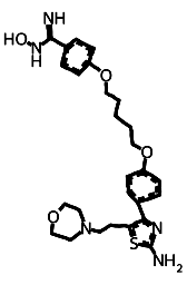 N=C(NO)c1ccc(OCCCCCOc2ccc(-c3nc(N)sc3CCN3CCOCC3)cc2)cc1